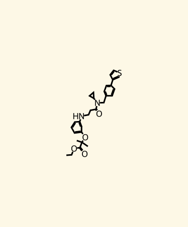 CCOC(=O)C(C)(C)Oc1cccc(NCCC(=O)N(Cc2ccc(-c3ccsc3)cc2)C2CC2)c1